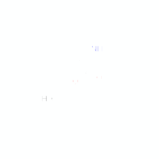 Cc1ccc2ccccc2c1OC(=O)[C@@H]1CCCN1